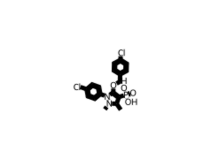 CC1C(P(=O)(O)O)=C(OCc2ccc(Cl)cc2)N(c2ccc(Cl)cc2)N1C